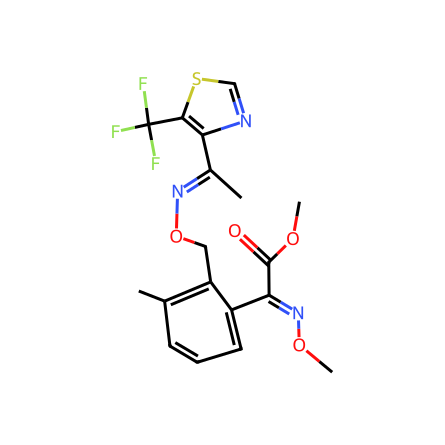 CO/N=C(/C(=O)OC)c1cccc(C)c1CO/N=C(\C)c1ncsc1C(F)(F)F